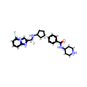 C[C@@H](NC1CC[C@H](c2ccc(C(=O)NC3CCNCC3)cc2)C1)c1cn2c(F)cccc2n1